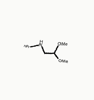 CCCNCC(OC)OC